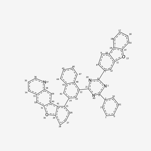 c1ccc(-c2nc(-c3ccc4c(c3)oc3ccccc34)nc(-c3cc(-c4cccc5oc6cc7cccnc7cc6c45)cc4ccccc34)n2)cc1